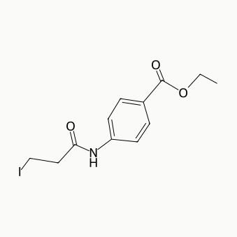 CCOC(=O)c1ccc(NC(=O)CCI)cc1